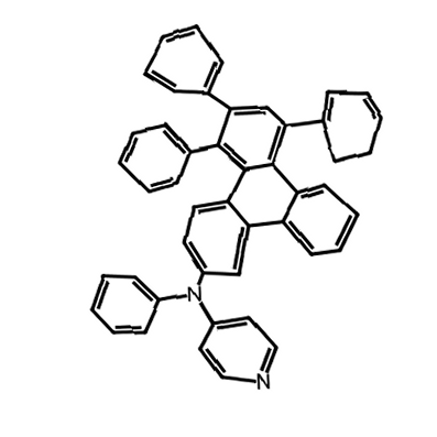 C1=CCCC(c2cc(-c3ccccc3)c(-c3ccccc3)c3c4ccc(N(c5ccccc5)c5ccncc5)cc4c4ccccc4c23)=C1